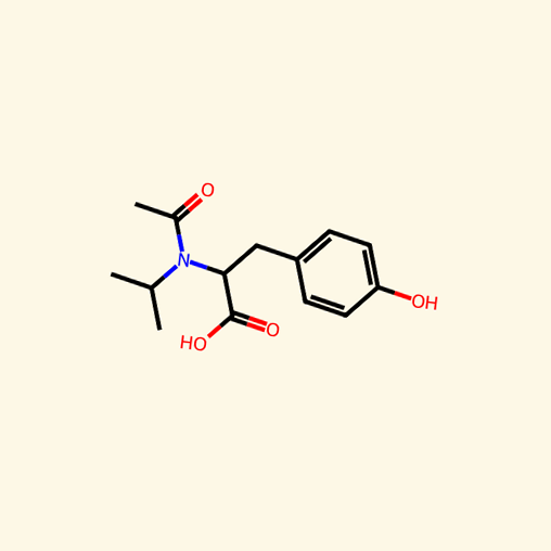 CC(=O)N(C(C)C)C(Cc1ccc(O)cc1)C(=O)O